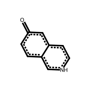 O=c1ccc2c[nH]ccc-2c1